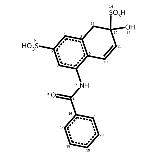 O=C(Nc1cc(S(=O)(=O)O)cc2c1C=CC(O)(S(=O)(=O)O)C2)c1ccccc1